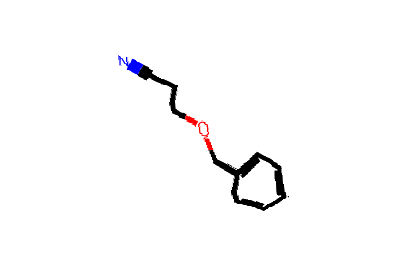 N#CCCOCc1cc[c]cc1